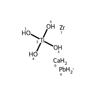 [CaH2].[OH][Ti]([OH])([OH])[OH].[PbH2].[Zr]